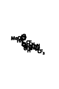 CO[C@@H]1COCC[C@@H]1N[C@@H]1CC[C@](CC(F)(F)F)(C(=O)N2C[C@@H]3C[C@H]2CN3c2cc(C(F)(F)F)cnn2)C1